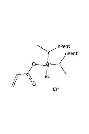 C=CC(=O)O[N+](CC)(C(C)CCCCC)C(C)CCCCC.[Cl-]